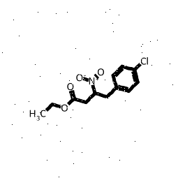 CCOC(=O)CC(Cc1ccc(Cl)cc1)[N+](=O)[O-]